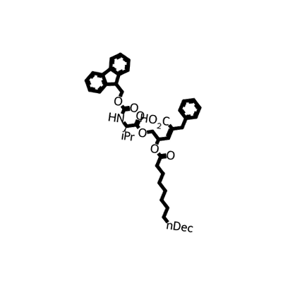 CCCCCCCCCCCCCCCCCC(=O)OC(C=C(Cc1ccccc1)C(=O)O)COC(=O)[C@@H](NC(=O)OCC1c2ccccc2-c2ccccc21)C(C)C